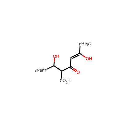 CCCCCCCC(O)=CC(=O)C(C(=O)O)C(O)CCCCC